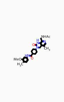 COc1cc(NC(=O)C2CCC(N3Cc4c(C)cnc(CNC(C)=O)c4NC3=O)CC2)ccc1C